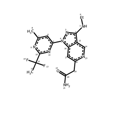 CCNc1nn(-c2cc(C)nc(C(C)(F)F)n2)c2cc(CC(N)=O)ncc12